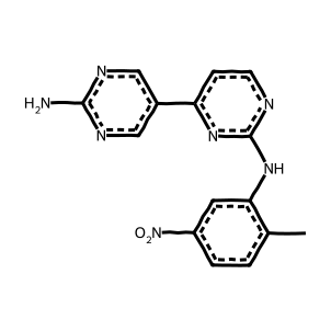 Cc1ccc([N+](=O)[O-])cc1Nc1nccc(-c2cnc(N)nc2)n1